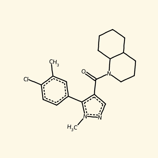 Cc1cc(-c2c(C(=O)N3CCCC4CCCCC43)cnn2C)ccc1Cl